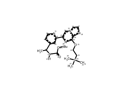 CCN(C(=O)OC(C)(C)C)C(C)c1ccnc(-c2cn3ccnc3c(OCC[Si](C)(C)C)n2)c1